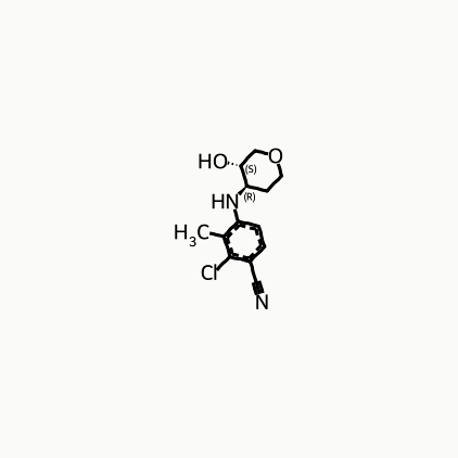 Cc1c(N[C@@H]2CCOC[C@H]2O)ccc(C#N)c1Cl